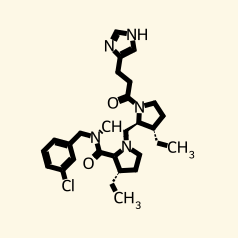 CC[C@H]1CCN(C[C@@H]2[C@@H](CC)CCN2C(=O)CCc2c[nH]cn2)C1C(=O)N(C)Cc1cccc(Cl)c1